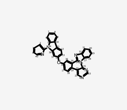 c1ccc(-n2c3ccccc3c3ccc(Oc4ccc5c6cncnc6n6c7ccccc7nc6c5c4)cc32)nc1